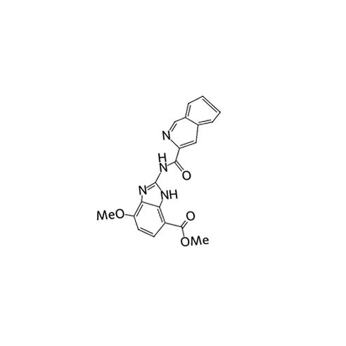 COC(=O)c1ccc(OC)c2nc(NC(=O)c3cc4ccccc4cn3)[nH]c12